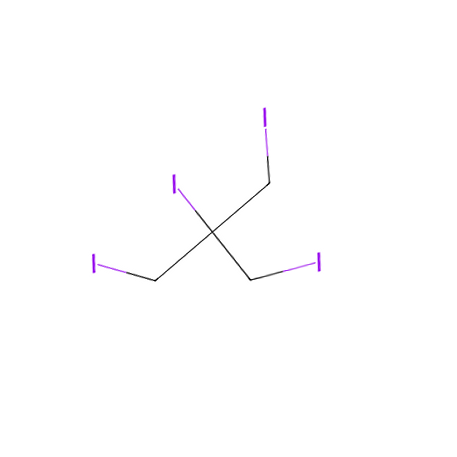 ICC(I)(CI)CI